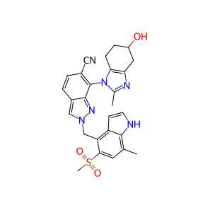 Cc1cc(S(C)(=O)=O)c(Cn2cc3ccc(C#N)c(-n4c(C)nc5c4CCC(O)C5)c3n2)c2cc[nH]c12